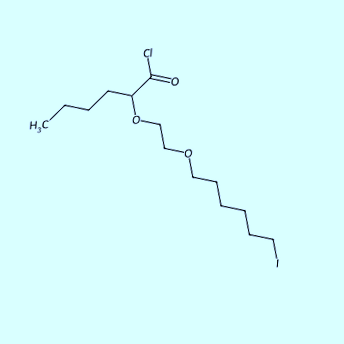 CCCCC(OCCOCCCCCCI)C(=O)Cl